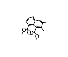 COC(=O)c1cccc2cc(C)c(C)c(C(=O)OC)c12